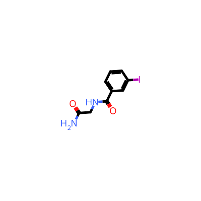 NC(=O)CNC(=O)c1cccc(I)c1